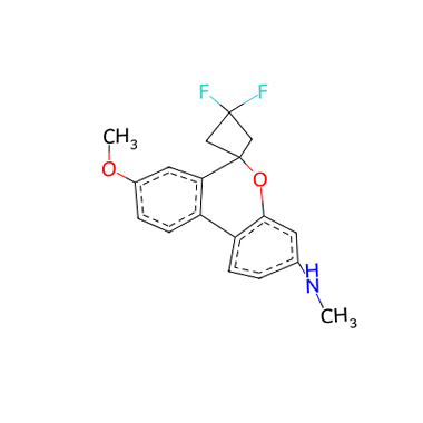 CNc1ccc2c(c1)OC1(CC(F)(F)C1)c1cc(OC)ccc1-2